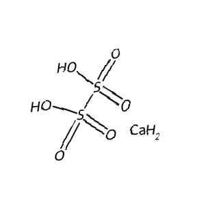 O=S(=O)(O)S(=O)(=O)O.[CaH2]